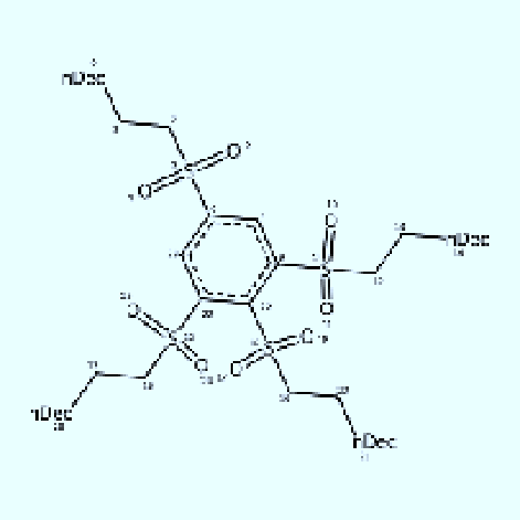 CCCCCCCCCCCCS(=O)(=O)c1cc(S(=O)(=O)CCCCCCCCCCCC)c(S(=O)(=O)CCCCCCCCCCCC)c(S(=O)(=O)CCCCCCCCCCCC)c1